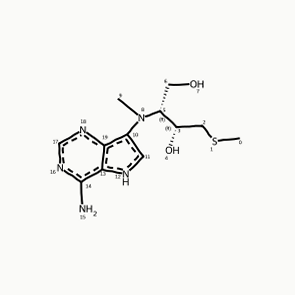 CSC[C@H](O)[C@@H](CO)N(C)c1c[nH]c2c(N)ncnc12